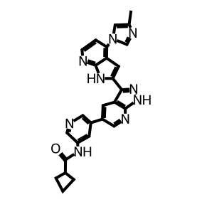 Cc1cn(-c2ccnc3[nH]c(-c4n[nH]c5ncc(-c6cncc(NC(=O)C7CCC7)c6)cc45)cc23)cn1